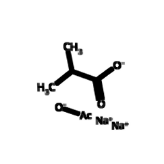 CC(=O)[O-].CC(C)C(=O)[O-].[Na+].[Na+]